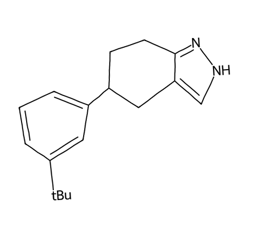 CC(C)(C)c1cccc(C2CCc3n[nH]cc3C2)c1